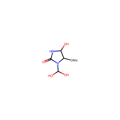 COC1C(O)NC(=O)N1C(O)O